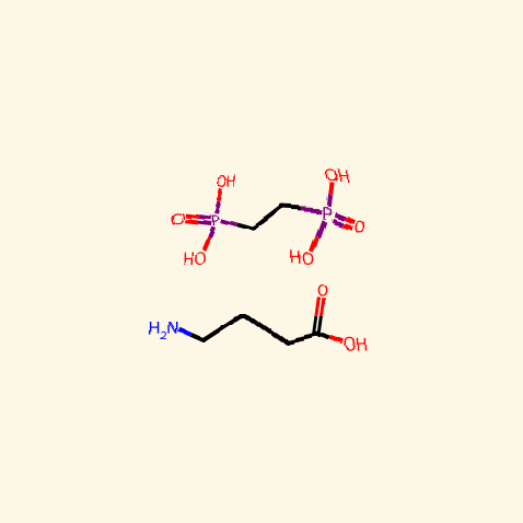 NCCCC(=O)O.O=P(O)(O)CCP(=O)(O)O